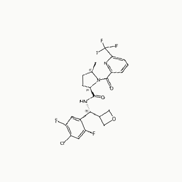 C[C@@H]1CC[C@H](C(=O)N[C@@H](c2cc(F)c(Cl)cc2F)C2COC2)N1C(=O)c1cccc(C(F)(F)F)n1